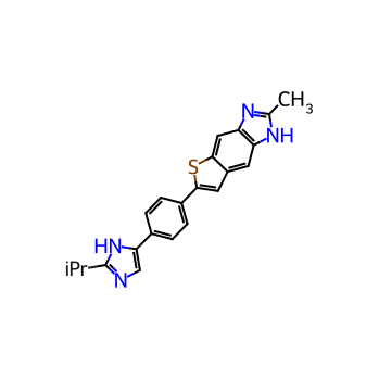 Cc1nc2cc3sc(-c4ccc(-c5cnc(C(C)C)[nH]5)cc4)cc3cc2[nH]1